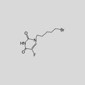 O=c1[nH]c(=O)n(CCCCCBr)cc1F